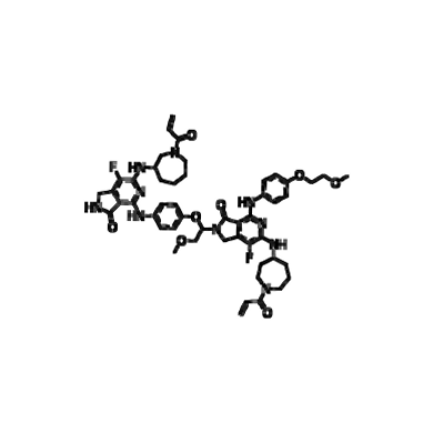 C=CC(=O)N1CCCC(Nc2nc(Nc3ccc(OCCOC)cc3)c3c(c2F)CN(C(COC)Oc2ccc(Nc4nc(NC5CCCCN(C(=O)C=C)C5)c(F)c5c4C(=O)NC5)cc2)C3=O)CC1